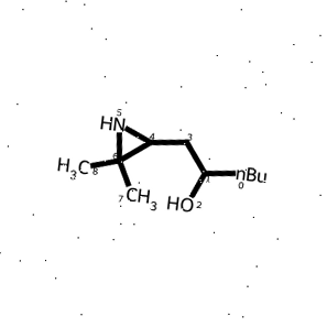 CCCCC(O)CC1NC1(C)C